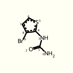 NC(=O)Nc1sccc1Br